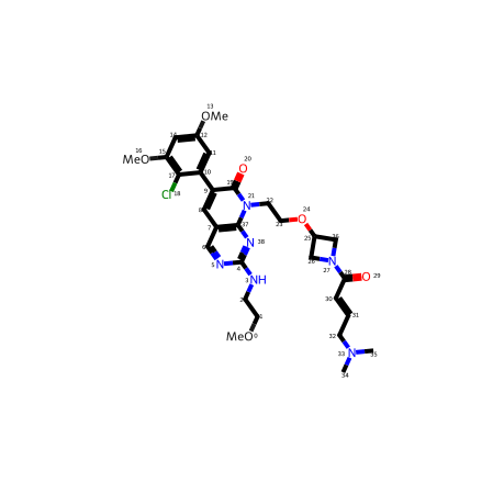 COCCNc1ncc2cc(-c3cc(OC)cc(OC)c3Cl)c(=O)n(CCOC3CN(C(=O)C=CCN(C)C)C3)c2n1